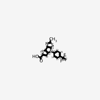 Cc1nc2c3sc(C(=O)O)cc3n(-c3ccc(C(F)(F)F)cc3)c2s1